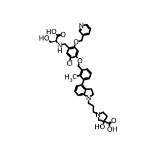 Cc1c(COc2cc(OCc3cccnc3)c(CN[C@@H](CO)C(=O)O)cc2Cl)cccc1-c1cccc2c1CCN2CCCN1CCC(O)(C(=O)O)C1